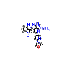 N.Nc1ncnc2nc(-c3ccc(N4CCOCC4)nc3)cc(Cc3c[nH]c4ccccc34)c12